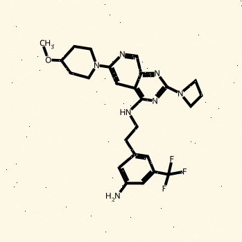 COC1CCN(c2cc3c(NCCc4cc(N)cc(C(F)(F)F)c4)nc(N4CCC4)nc3cn2)CC1